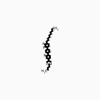 C=CCCC1OCC(c2ccc(-c3ccc(-c4ccc(CCCCCCCCCC)c(F)c4F)cc3)c(F)c2)CO1